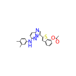 CC(=O)Oc1cccc2cc(-c3cnc4ccc(Nc5ccc(C)c(C)c5)nn34)sc12